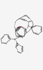 C1=C2CCc3ccc(cc3P(c3ccccc3)c3ccccc3)CCC(=C1)C(P(c1ccccc1)c1ccccc1)C2